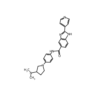 CN(C)C1CCN(c2ccc(NC(=O)c3ccc4[nH]c(-c5ccncc5)nc4c3)cc2)C1